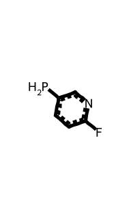 Fc1ccc(P)cn1